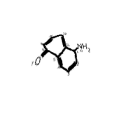 NC1C=CC=C2C(=O)C=CC=C21